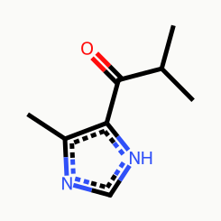 Cc1nc[nH]c1C(=O)C(C)C